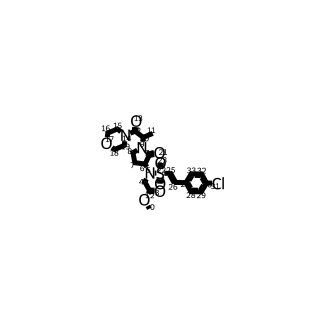 COC(=O)CN(C1CCN(C(C)C(=O)N2CCOCC2)C1=O)S(=O)(=O)C=Cc1ccc(Cl)cc1